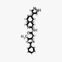 Cc1sc(-c2ccccc2)nc1CC(=O)Nc1cc2cc(-c3cn[nH]c3)ccc2cn1